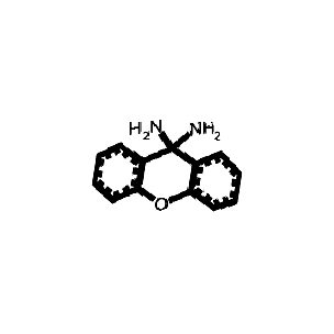 NC1(N)c2ccccc2Oc2ccccc21